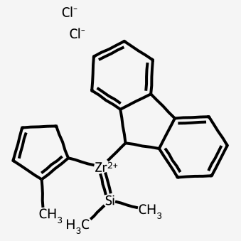 CC1=[C]([Zr+2]([CH]2c3ccccc3-c3ccccc32)=[Si](C)C)CC=C1.[Cl-].[Cl-]